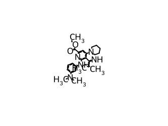 CCOC(=O)c1cc(N2CCCCC2)c(C(=N)C(C)C)c(Nc2cccc(N(C)C)c2)n1